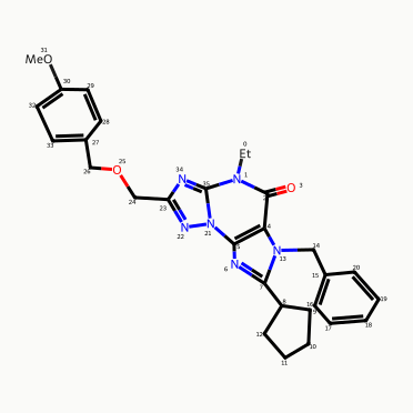 CCn1c(=O)c2c(nc(C3CCCC3)n2Cc2ccccc2)n2nc(COCc3ccc(OC)cc3)nc12